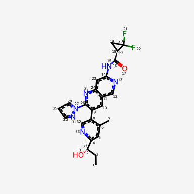 CC[C@H](O)c1cc(C)c(-c2cc3cnc(NC(=O)[C@H]4CC4(F)F)cc3nc2-n2cccn2)cn1